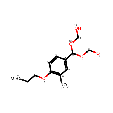 COCCOc1ccc(C(OCO)OCO)cc1[N+](=O)[O-]